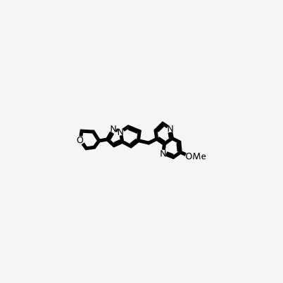 COc1cnc2c(Cc3ccn4nc(C5CCOCC5)cc4c3)ccnc2c1